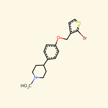 O=C(O)N1CCC(c2ccc(OCc3ccsc3Br)cc2)CC1